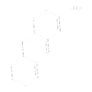 O=Cc1ccc2cc3c[c]ccc3cc2c1